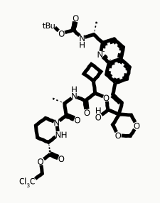 C[C@H](NC(=O)C(OC(O)C1(/C=C/c2ccc3ccc([C@@H](C)NC(=O)OC(C)(C)C)nc3c2)COCOC1)C1CCC1)C(=O)N1CCC[C@@H](C(=O)OCC(Cl)(Cl)Cl)N1